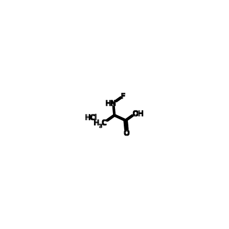 CC(NF)C(=O)O.Cl